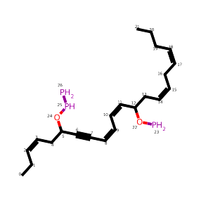 CC/C=C\CC(C#C/C=C\C=C/C(C/C=C\C/C=C\CCC)OP)OPP